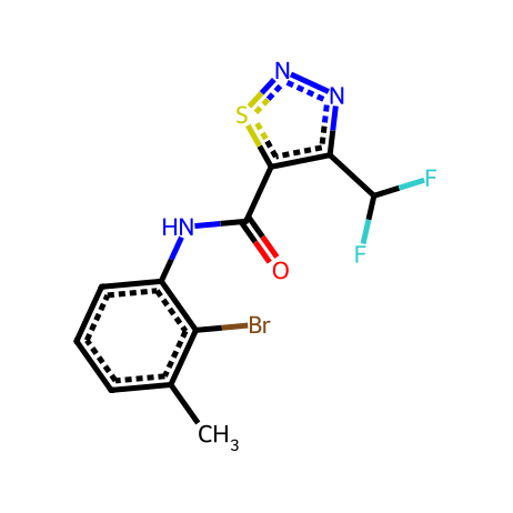 Cc1cccc(NC(=O)c2snnc2C(F)F)c1Br